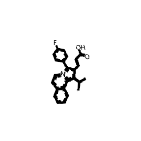 CC(C)c1c(/C=C/C(=O)O)c(-c2ccc(F)cc2)n2ccc3ccccc3c12